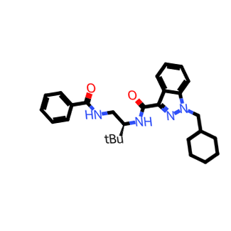 CC(C)(C)[C@@H](CNC(=O)c1ccccc1)NC(=O)c1nn(CC2CCCCC2)c2ccccc12